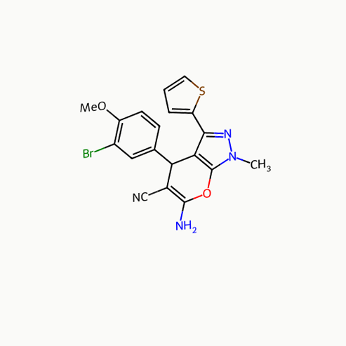 COc1ccc(C2C(C#N)=C(N)Oc3c2c(-c2cccs2)nn3C)cc1Br